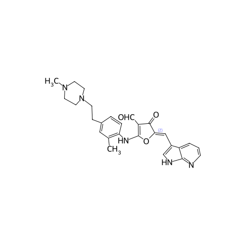 Cc1cc(CCN2CCN(C)CC2)ccc1NC1=C(C=O)C(=O)/C(=C/c2c[nH]c3ncccc23)O1